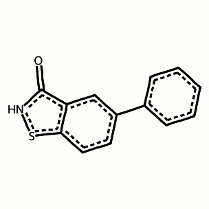 O=c1[nH]sc2ccc(-c3ccccc3)cc12